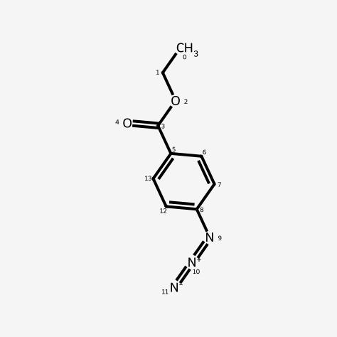 CCOC(=O)c1ccc(N=[N+]=[N-])cc1